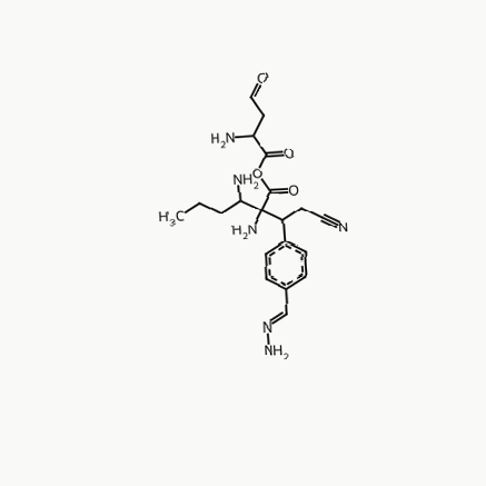 CCCC(N)C(N)(C(=O)OC(=O)C(N)CC=O)C(CC#N)c1ccc(C=NN)cc1